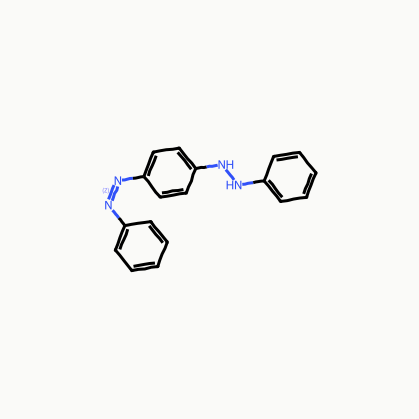 c1ccc(/N=N\c2ccc(NNc3ccccc3)cc2)cc1